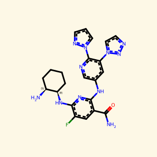 NC(=O)c1cc(F)c(N[C@@H]2CCCC[C@@H]2N)nc1Nc1cnc(-n2cccn2)c(-n2ccnn2)c1